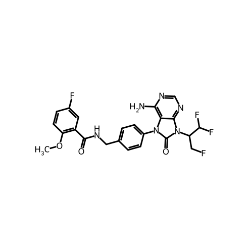 COc1ccc(F)cc1C(=O)NCc1ccc(-n2c(=O)n(C(CF)C(F)F)c3ncnc(N)c32)cc1